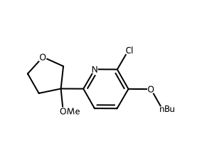 CCCCOc1ccc(C2(OC)CCOC2)nc1Cl